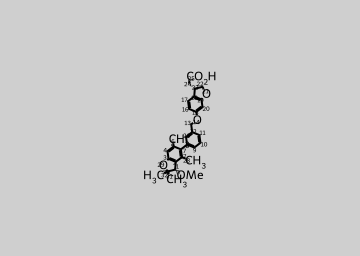 CO[C@H]1c2c(cc(C)c(-c3cccc(COc4ccc5c(c4)OC[C@H]5CC(=O)O)c3)c2C)OC1(C)C